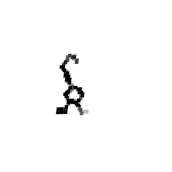 CCC#Cc1ccc(O)c(O)c1